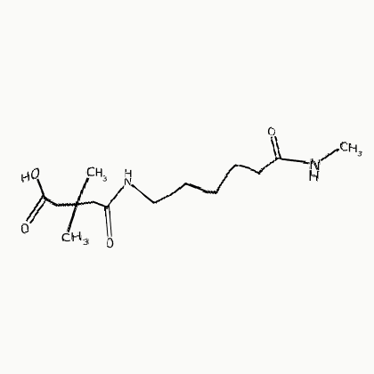 CNC(=O)CCCCCNC(=O)C(C)(C)C(=O)O